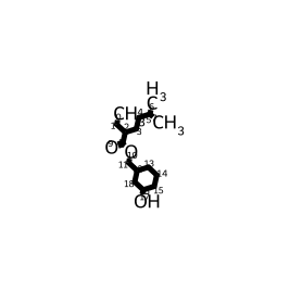 CCC(CCC(C)C)C(=O)OCC1CCCC(O)C1